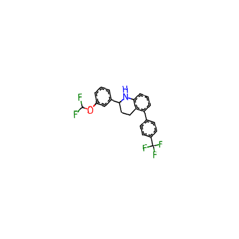 FC(F)Oc1cccc(C2CCc3c(cccc3-c3ccc(C(F)(F)F)cc3)N2)c1